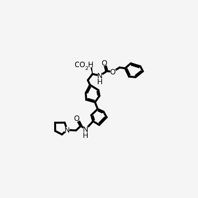 O=C(CN1CCCC1)Nc1cccc(-c2ccc(C[C@H](NC(=O)OCc3ccccc3)C(=O)O)cc2)c1